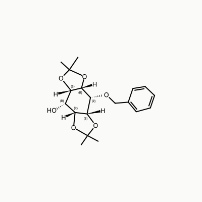 CC1(C)O[C@H]2[C@@H](OCc3ccccc3)[C@H]3OC(C)(C)O[C@H]3[C@@H](O)[C@H]2O1